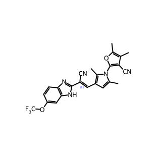 Cc1oc(-n2c(C)cc(/C=C(\C#N)c3nc4ccc(OC(F)(F)F)cc4[nH]3)c2C)c(C#N)c1C